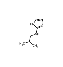 CC(C)CNc1nnc[nH]1